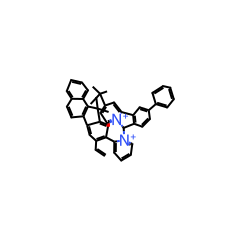 C=Cc1cc2c(cc1-c1cccc[n+]1C1c3ccc(-c4ccccc4)cc3-c3cc(C(C)(C)C)cc[n+]31)C(C)(C)c1c-2ccc2ccccc12